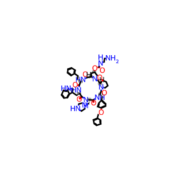 NCCNC(=O)O[C@@H]1C[C@H]2C(=O)N[C@@H](CCc3ccccc3)C(=O)N[C@H](Cc3c[nH]c4ccccc34)C(=O)N[C@@H](CN3CCNCC3)C(=O)N[C@@H](Cc3ccc(OCc4ccccc4)cc3)C(=O)N3CCCC[C@H]3C(=O)N2C1